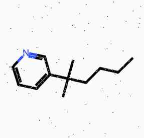 CCCCC(C)(C)c1cc[c]nc1